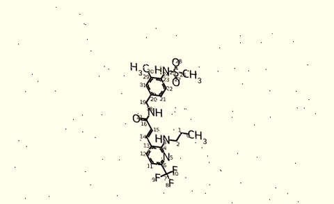 CCCNc1nc(C(F)(F)F)ccc1C=CC(=O)NCc1ccc(NS(C)(=O)=O)c(C)c1